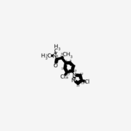 CC(C(=O)N(C)C)c1ccc(-n2cc(Cl)cn2)c(Cl)c1